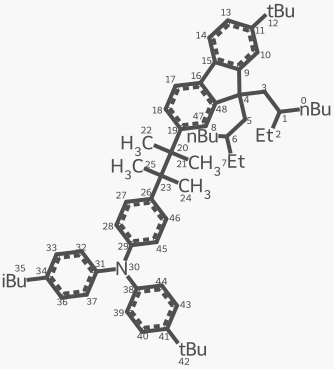 CCCCC(CC)CC1(CC(CC)CCCC)c2cc(C(C)(C)C)ccc2-c2ccc(C(C)(C)C(C)(C)c3ccc(N(c4ccc(C(C)CC)cc4)c4ccc(C(C)(C)C)cc4)cc3)cc21